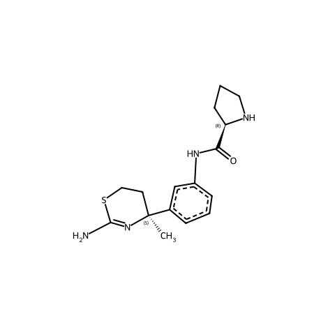 C[C@@]1(c2cccc(NC(=O)[C@H]3CCCN3)c2)CCSC(N)=N1